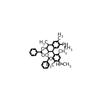 CPc1cc(C)c(C2c3cc(PC)c(C)cc3C(C)[C@@H](OC(=O)c3ccccc3)C2OC(=O)c2ccccc2)cc1C